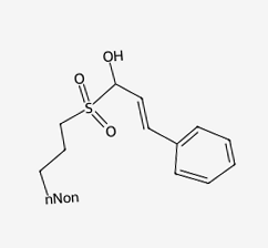 CCCCCCCCCCCCS(=O)(=O)C(O)C=Cc1ccccc1